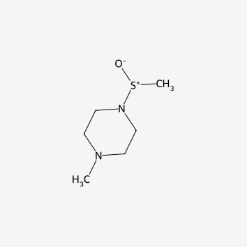 CN1CCN([S+](C)[O-])CC1